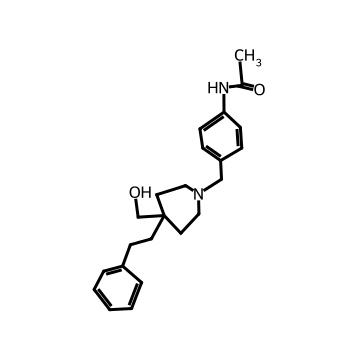 CC(=O)Nc1ccc(CN2CCC(CO)(CCc3ccccc3)CC2)cc1